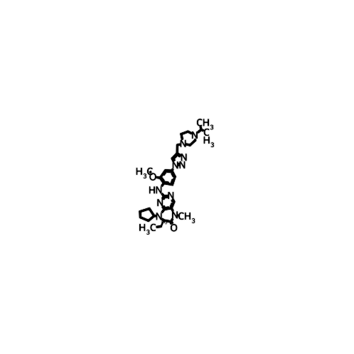 CC[C@@H]1C(=O)N(C)c2cnc(Nc3ccc(-n4cc(CN5CCN(C(C)C)CC5)nn4)cc3OC)nc2N1C1CCCC1